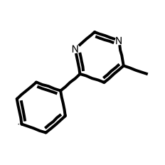 Cc1cc(-c2cc[c]cc2)ncn1